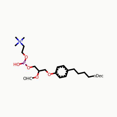 CCCCCCCCCCCCCCc1ccc(OCC(COP(O)OCC[N+](C)(C)C)OC=O)cc1